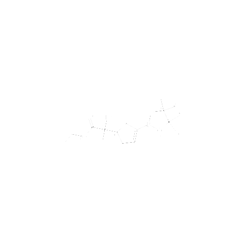 CCOC(=O)C(F)(F)C1CC=C(B2OC(C)(C)C(C)(C)O2)C1